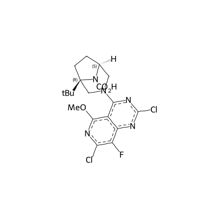 COc1nc(Cl)c(F)c2nc(Cl)nc(N3C[C@@H]4CC[C@@](C(C)(C)C)(C3)N4C(=O)O)c12